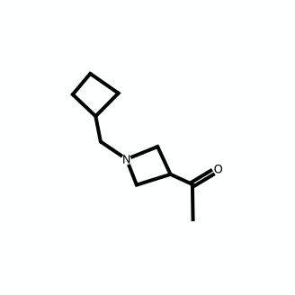 CC(=O)C1CN(CC2CCC2)C1